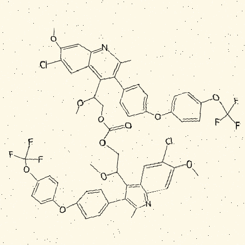 COc1cc2nc(C)c(-c3ccc(Oc4ccc(OC(F)(F)F)cc4)cc3)c(C(COC(=O)OCC(OC)c3c(-c4ccc(Oc5ccc(OC(F)(F)F)cc5)cc4)c(C)nc4cc(OC)c(Cl)cc34)OC)c2cc1Cl